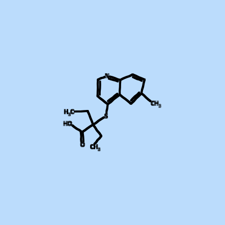 CCC(CC)(Sc1ccnc2ccc(C)cc12)C(=O)O